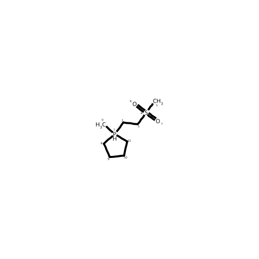 C[PH]1(CCS(C)(=O)=O)CCCC1